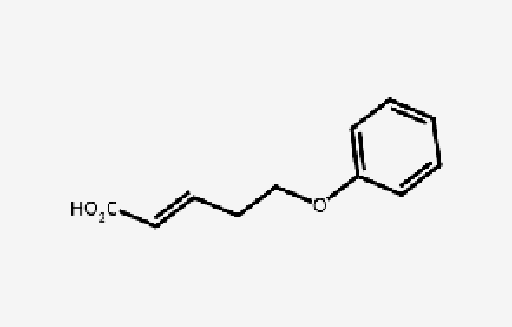 O=C(O)C=CCCOc1ccccc1